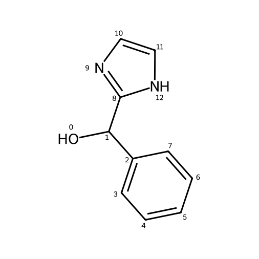 OC(c1ccccc1)c1ncc[nH]1